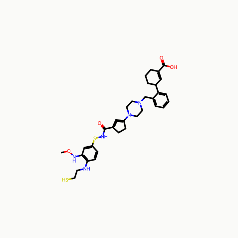 CONc1cc(SNC(=O)C2=C=C(N3CCN(Cc4ccccc4C4C=C(C(=O)O)CCC4)CC3)CC2)ccc1NCCS